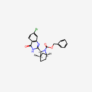 O=C(OCc1ccccc1)N1[C@@H]2CC[C@@H](C2)[C@H]1c1nc2cc(Br)ccc2c(=O)[nH]1